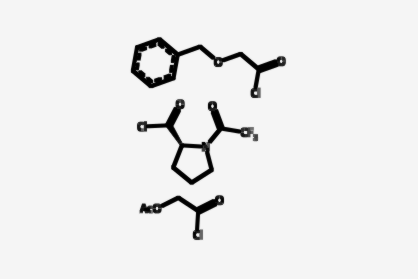 CC(=O)OCC(=O)Cl.O=C(Cl)COCc1ccccc1.O=C(Cl)[C@@H]1CCCN1C(=O)C(F)(F)F